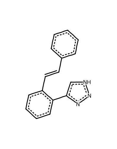 C(=C\c1ccccc1-c1c[nH]nn1)/c1ccccc1